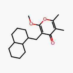 COc1oc(C)c(C)c(=O)c1CC1CCCC2CCCCC21